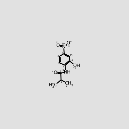 CC(C)C(=O)Nc1ccc([N+](=O)[O-])cc1O